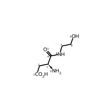 N[C@@H](CC(=O)O)C(=O)NCCO